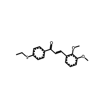 CCSc1ccc(C(=O)C=Cc2cccc(OC)c2OC)cc1